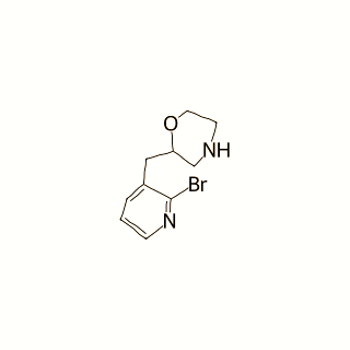 Brc1ncccc1CC1CNCCO1